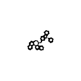 c1ccc(-n2c3ccccc3c3ccc(CC4CCc5ccc6ccccc6c5-c5ccc6ccccc6c54)cc32)cc1